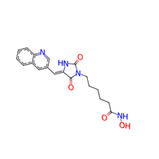 O=C(CCCCCN1C(=O)N/C(=C\c2cnc3ccccc3c2)C1=O)NO